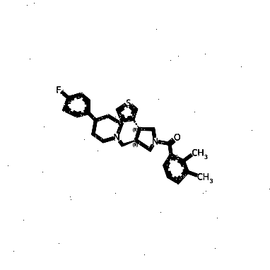 Cc1cccc(C(=O)N2C[C@@H](CN3CCC(c4ccc(F)cc4)CC3)[C@H](c3ccsc3)C2)c1C